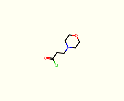 O=C(Cl)CCN1CCOCC1